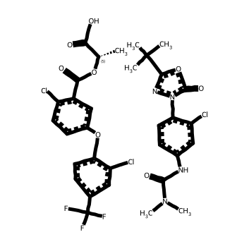 CN(C)C(=O)Nc1ccc(-n2nc(C(C)(C)C)oc2=O)c(Cl)c1.C[C@H](OC(=O)c1cc(Oc2ccc(C(F)(F)F)cc2Cl)ccc1Cl)C(=O)O